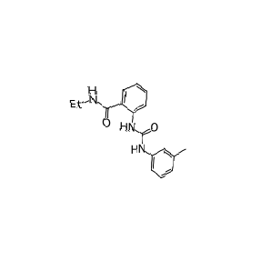 CCNC(=O)c1ccccc1NC(=O)Nc1cccc(C)c1